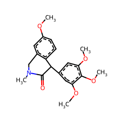 COc1ccc2c(c1)CN(C)C(=O)C2c1cc(OC)c(OC)c(OC)c1